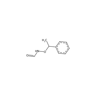 CC(ON[C]=O)c1ccccc1